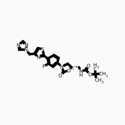 CC(C)(C)OC(=O)NC[C@H]1CN(c2ccc(-c3nc(Cn4cncn4)cs3)c(F)c2)C(=O)O1